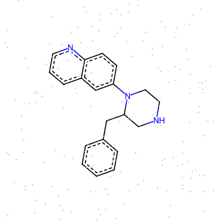 c1ccc(CC2CNCCN2c2ccc3ncccc3c2)cc1